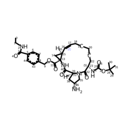 CCNC(=O)c1ccc(COC(=O)[C@@]23C[C@H]2/C=C\CCCCC[C@H](NC(=O)OC(C)(C)C)C(=O)N2C[C@H](N)C[C@H]2C(=O)N3)cc1